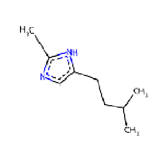 Cc1n[c]c(CCC(C)C)[nH]1